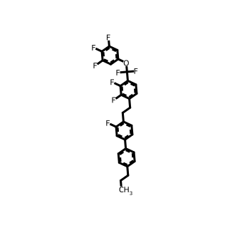 CCCc1ccc(-c2ccc(CCc3ccc(C(F)(F)Oc4cc(F)c(F)c(F)c4)c(F)c3F)c(F)c2)cc1